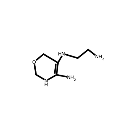 NCCNC1=C(N)NCOC1